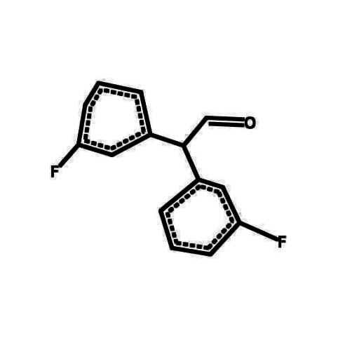 O=CC(c1cccc(F)c1)c1cccc(F)c1